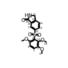 COc1ccc(OC)c(S(=O)(=O)c2ccc3c(c2)C(=O)NC3)c1OC